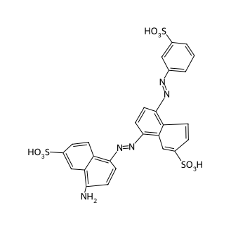 Nc1ccc(/N=N/c2ccc(/N=N/c3cccc(S(=O)(=O)O)c3)c3ccc(S(=O)(=O)O)cc23)c2ccc(S(=O)(=O)O)cc12